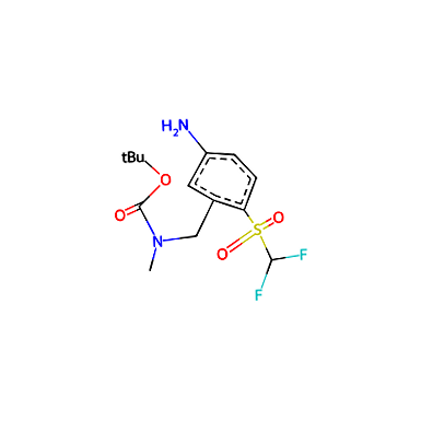 CN(Cc1cc(N)ccc1S(=O)(=O)C(F)F)C(=O)OC(C)(C)C